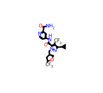 NC(=O)c1cc(NC(=O)c2c(C(F)(F)F)c(C3CC3)nn2CC2COC(C(F)(F)F)C2)ccn1